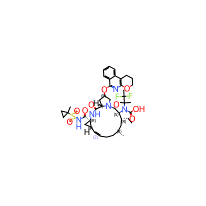 CC[C@@H]1C[C@H](C)CC/C=C\[C@@H]2C[C@@]2(C(=O)NS(=O)(=O)C2(C)CC2)NC(=O)[C@@H]2C[C@@H](Oc3nc4c(c5ccccc35)CCCO4)CN2C(=O)[C@H]1N(C(=O)O)C(C)(C)C(C)(F)F